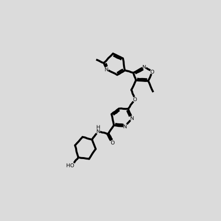 Cc1ccc(-c2noc(C)c2COc2ccc(C(=O)NC3CCC(O)CC3)nn2)cn1